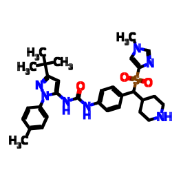 Cc1ccc(-n2nc(C(C)(C)C)cc2NC(=O)Nc2ccc(C(C3CCNCC3)S(=O)(=O)c3cn(C)cn3)cc2)cc1